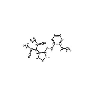 COc1ccccc1OCC1SCCN1C(C(N)=O)C(N)=O